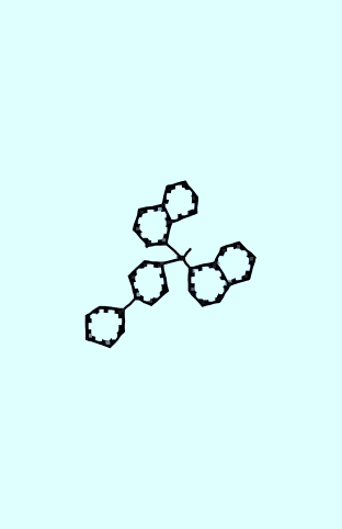 CC(c1ccc(-c2ccccc2)cc1)(c1cccc2ccccc12)c1c(O)ccc2ccccc12